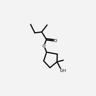 CCC(C)C(=O)OC1CCC(C)(O)C1